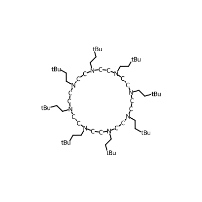 CC(C)(C)CCN1CCN(CCC(C)(C)C)CCN(CCC(C)(C)C)CCN(CCC(C)(C)C)CCN(CCC(C)(C)C)CCN(CCC(C)(C)C)CCN(CCC(C)(C)C)CCN(CCC(C)(C)C)CC1